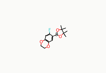 CC1(C)OB(c2cc3c(cc2F)OCCO3)OC1(C)C